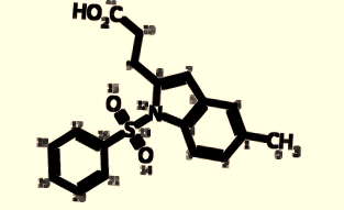 Cc1ccc2c(c1)cc(CCC(=O)O)n2S(=O)(=O)c1ccccc1